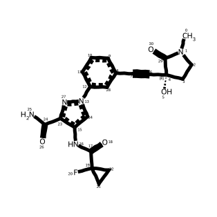 CN1CC[C@@](O)(C#Cc2cccc(-n3cc(NC(=O)C4(F)CC4)c(C(N)=O)n3)c2)C1=O